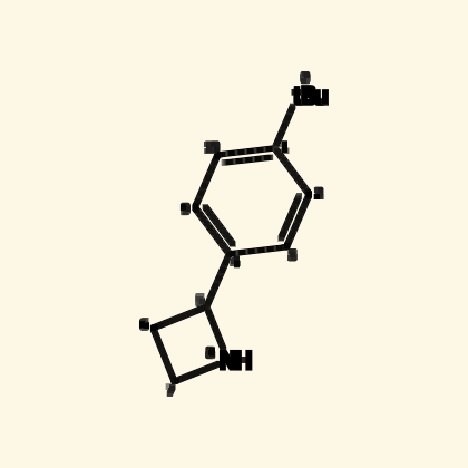 CC(C)(C)c1ccc(C2CCN2)cc1